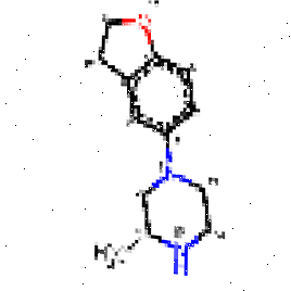 C[C@@H]1CN(c2ccc3c(c2)CCO3)CCN1